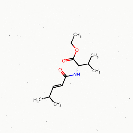 CCOC(=O)[C@@H](NC(=O)/C=C/C(C)C)C(C)C